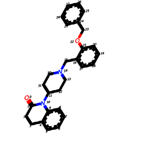 O=C1CCc2ccccc2N1C1CCN(Cc2ccccc2OCc2ccccc2)CC1